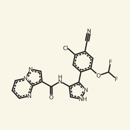 N#Cc1cc(OC(F)F)c(-c2n[nH]cc2NC(=O)c2cnn3cccnc23)cc1Cl